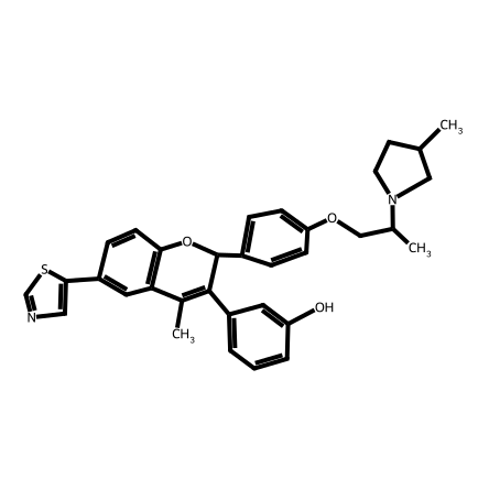 CC1=C(c2cccc(O)c2)C(c2ccc(OCC(C)N3CCC(C)C3)cc2)Oc2ccc(-c3cncs3)cc21